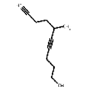 C#CCCC([CH2])C#CCCCC